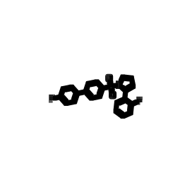 O=S(=O)(c1ccc(-c2ccc(F)cc2)cc1)n1cccc1-c1ccccc1F